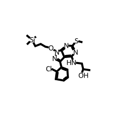 CSc1nc(NCC(C)O)c2c(-c3ccccc3Cl)nn(OCCC[Si](C)(C)C)c2n1